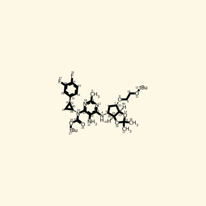 Cc1nc(N[C@@H]2C[C@H](OCCOC(C)(C)C)[C@H]3OC(C)(C)O[C@H]32)c(N)c(N(C(=O)OC(C)(C)C)[C@@H]2C[C@H]2c2ccc(F)c(F)c2)n1